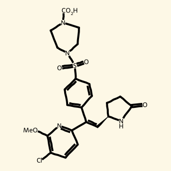 COc1nc(/C(=C/[C@H]2CCC(=O)N2)c2ccc(S(=O)(=O)N3CCN(C(=O)O)CC3)cc2)ccc1Cl